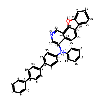 c1ccc(-c2ccc(-c3ccc(N(c4ccccc4)c4cncc5c4ccc4c6ccccc6oc54)cc3)cc2)cc1